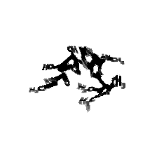 CCNC(=O)[C@H]1O[C@@H](n2cnc3c(NC)nc(-c4c(C)nn(C)c4C)nc32)[C@H](O)[C@@H]1O